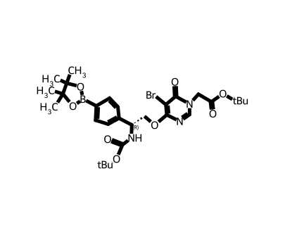 CC(C)(C)OC(=O)Cn1cnc(OC[C@H](NC(=O)OC(C)(C)C)c2ccc(B3OC(C)(C)C(C)(C)O3)cc2)c(Br)c1=O